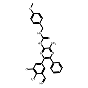 COc1ccc(CNC(=O)Nc2nc(-c3cc(Cl)c(N)c(C=N)c3)c(-c3ccccc3)nc2N)cc1